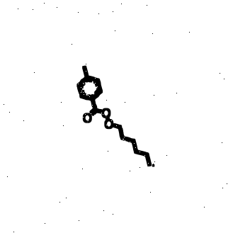 [CH2]CCCCCOOC(=O)c1ccc(C)cc1